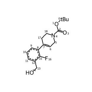 CC(C)(C)OC(=O)N1CC=C(c2cccc(CO)c2F)CC1